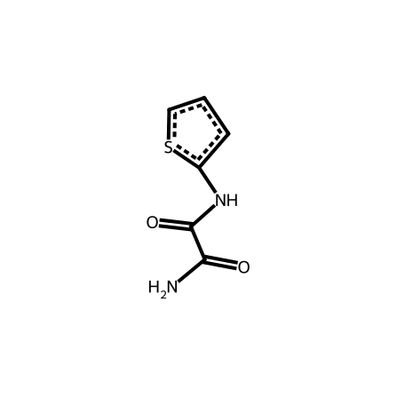 NC(=O)C(=O)Nc1cccs1